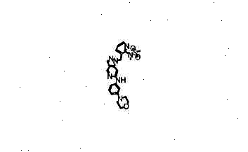 CN(c1ncccc1Cn1ncc2cnc(Nc3cccc(N4CCOCC4)c3)cc21)S(C)(=O)=O